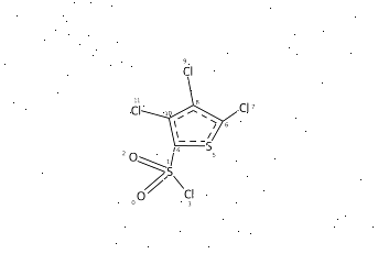 O=S(=O)(Cl)c1sc(Cl)c(Cl)c1Cl